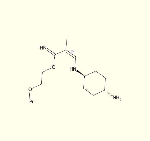 C/C(=C/N[C@H]1CC[C@H](N)CC1)C(=N)OCCOC(C)C